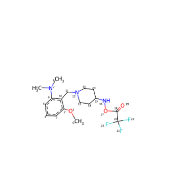 COc1cccc(N(C)C)c1CN1CCC(NOC(=O)C(F)(F)F)CC1